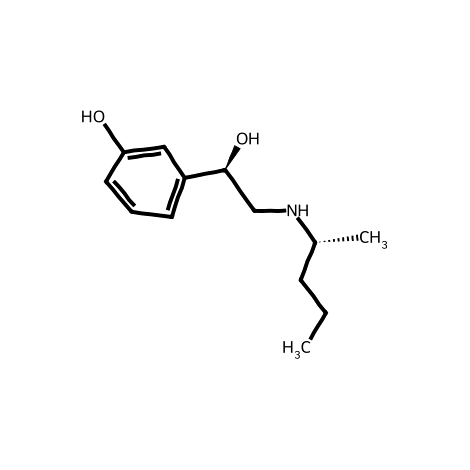 CCC[C@@H](C)NC[C@H](O)c1cccc(O)c1